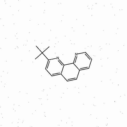 CC(C)(C)c1ccc2ccc3cccnc3c2n1